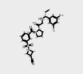 CC[C@@H](NCC(=O)[C@H]1CCCN1C(=O)c1cccc(S(=O)(=O)N2CC(C#N)C2)c1)c1cc(F)cc(F)c1